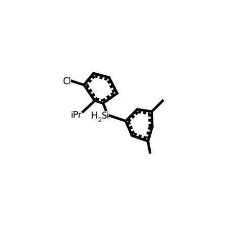 Cc1cc(C)cc([SiH2]c2cccc(Cl)c2C(C)C)c1